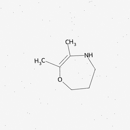 CC1=C(C)OCCCN1